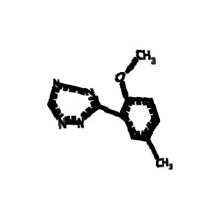 COc1ccc(C)cc1-c1nncnn1